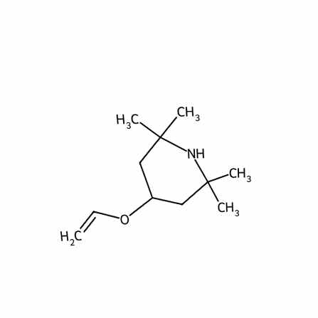 C=COC1CC(C)(C)NC(C)(C)C1